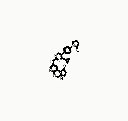 O=C1CCCN1c1ccc(-c2cnc(Nc3cnc4c(c3)N3C(=O)CC[C@H]3CO4)nc2C2CC2)cc1